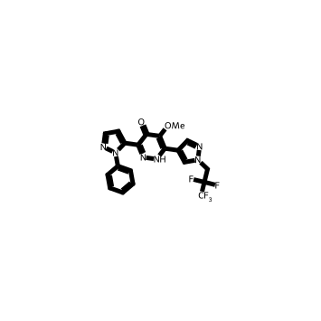 COc1c(-c2cnn(CC(F)(F)C(F)(F)F)c2)[nH]nc(-c2ccnn2-c2ccccc2)c1=O